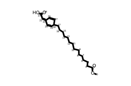 COC(=O)CCCCCCCCCCCCCCC1C=CC(=CC(=O)O)C=C1